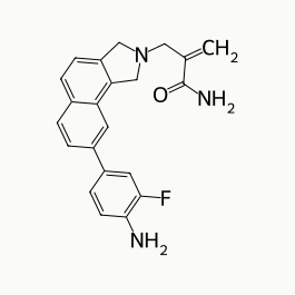 C=C(CN1Cc2ccc3ccc(-c4ccc(N)c(F)c4)cc3c2C1)C(N)=O